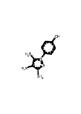 Bc1nn(-c2ccc(O)cc2)c(B)c1B